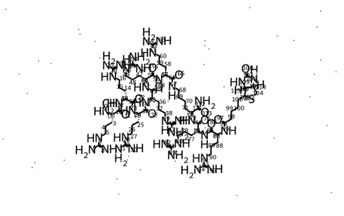 CN[C@@H](CCCNC(=N)N)C(=O)N[C@H](CCCNC(=N)N)C(=O)N[C@@H](CCCNC(=N)N)C(=O)N[C@H](CCCNC(=N)N)C(=O)N[C@@H](CCCNC(=N)N)C(=O)N[C@@H](CCCNC(=N)N)C(=O)NCCCC[C@H](NC(=O)[C@H](CCCNC(=N)N)NC(=O)[C@H](CCCNC(=N)N)NC(=O)CCCC[C@@H]1SC[C@H]2NC(=O)N[C@@H]12)C(N)=O